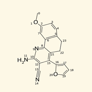 COc1ccc2c(c1)-c1nc(N)c(C#N)c(-c3ccco3)c1CC2